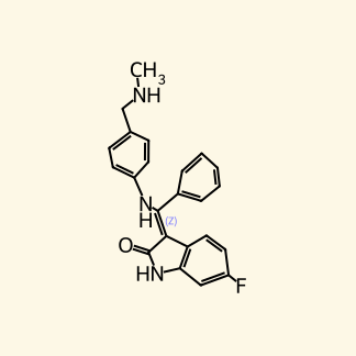 CNCc1ccc(N/C(=C2\C(=O)Nc3cc(F)ccc32)c2ccccc2)cc1